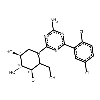 Nc1nc(-c2cc(Cl)ccc2Cl)nc(N2C[C@H](O)[C@@H](O)[C@H](O)C2CO)n1